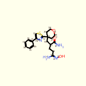 NC(=O)C(CC/C(N)=N\O)CC1(c2nc(-c3ccccc3)cs2)CCOCC1